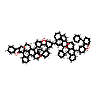 c1ccc(-c2cccc3oc4ccc(-c5c6ccccc6c(-c6ccccc6-c6ccc7ccc8cccc9c(-c%10cc(-c%11cccc%12ccccc%11%12)c%11c(c%10)oc%10ccc(-c%12c%13ccccc%13c(-c%13ccccc%13-c%13cccc%14c%13oc%13ccccc%13%14)c%13ccccc%12%13)cc%10%11)cc6c7c89)c6ccccc56)cc4c23)cc1